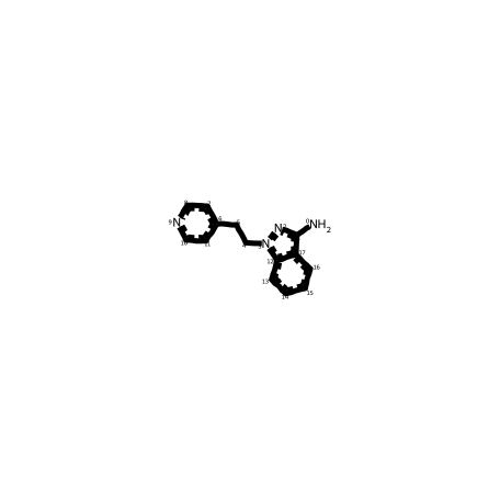 Nc1nn(CCc2ccncc2)c2ccccc12